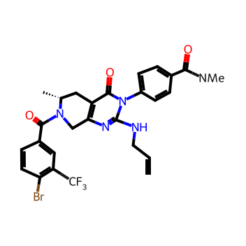 C=CCNc1nc2c(c(=O)n1-c1ccc(C(=O)NC)cc1)C[C@@H](C)N(C(=O)c1ccc(Br)c(C(F)(F)F)c1)C2